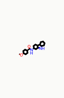 COc1ccc(C(=O)Nc2ccc3c(c2)[nH]c2ccccc23)cc1